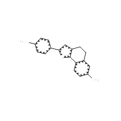 Cc1ccc(-c2cc3c(s2)-c2ccc(C)cc2CC3)cc1